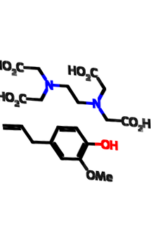 C=CCc1ccc(O)c(OC)c1.O=C(O)CN(CCN(CC(=O)O)CC(=O)O)CC(=O)O